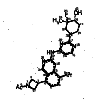 CC(=O)N1CC(c2ccc(C(C)C)c3cc(Nc4ccnc(N5CC[C@@H](O)[C@@](C)(F)C5)n4)ncc23)C1